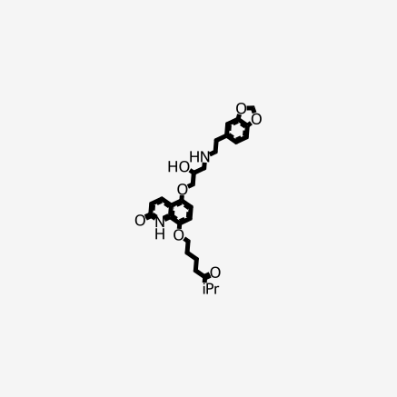 CC(C)C(=O)CCCCOc1ccc(OCC(O)CNCCc2ccc3c(c2)OCO3)c2ccc(=O)[nH]c12